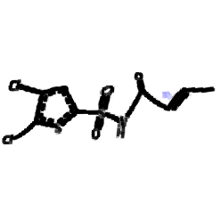 C/C=C/C(=O)NS(=O)(=O)c1cc(Cl)c(Cl)s1